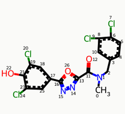 CN(Cc1ccc(Cl)c(Cl)c1)C(=O)c1nnc(-c2cc(Cl)c(O)c(Cl)c2)o1